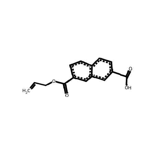 C=CCOC(=O)c1ccc2ccc(C(=O)O)cc2c1